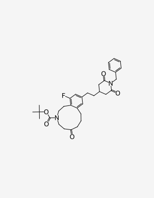 CC(C)(C)OC(=O)N1CCC(=O)CCCc2cc(CCC3CC(=O)N(Cc4ccccc4)C(=O)C3)cc(F)c2CC1